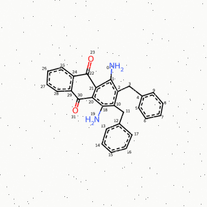 Nc1c(Cc2ccccc2)c(Cc2ccccc2)c(N)c2c1C(=O)c1ccccc1C2=O